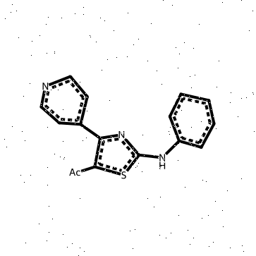 CC(=O)c1sc(Nc2ccccc2)nc1-c1ccncc1